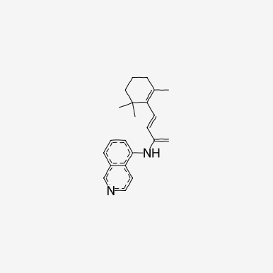 C=C(/C=C/C1=C(C)CCCC1(C)C)Nc1cccc2cnccc12